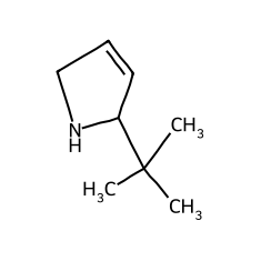 CC(C)(C)C1C=CCN1